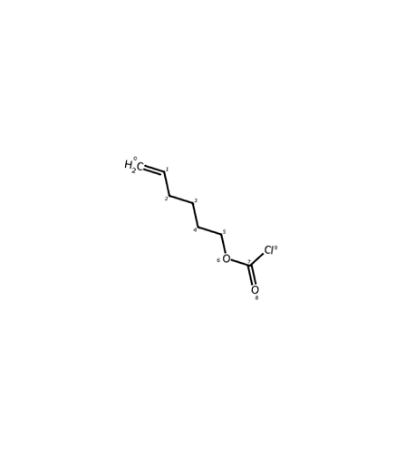 C=CCCCCOC(=O)Cl